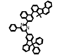 CC1(C)c2ccc3ccccc3c2-c2cccc(-c3ccc(-c4nc(-c5ccccc5)cc(-c5ccc6c(c5)-c5ccccc5C6(c5ccccc5)c5ccccc5)n4)c4ccccc34)c21